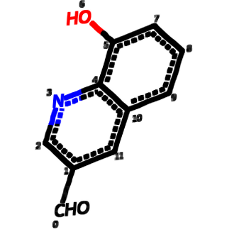 O=Cc1cnc2c(O)cccc2c1